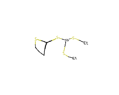 CC[S][Sb]([S]CC)[S]C1CCS1